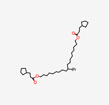 CC(C)C(CCCCCCCCCOC(=O)CCC1CCCC1)CCCCCCCCCOC(=O)CCC1CCCC1